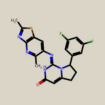 Cc1nc2nc(C)c(/N=c3\[nH]c(=O)cc4n3C(c3cc(F)cc(F)c3)CC4)cc2s1